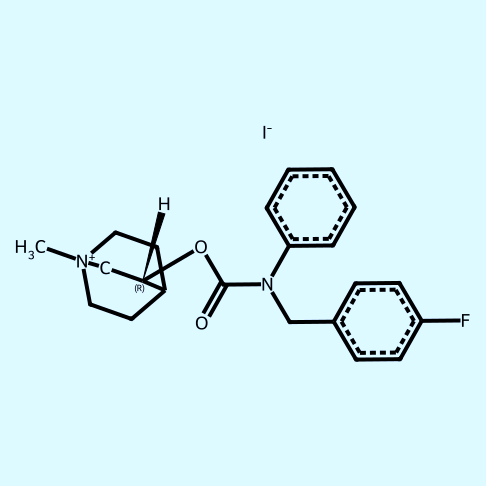 C[N+]12CCC(CC1)[C@@H](OC(=O)N(Cc1ccc(F)cc1)c1ccccc1)C2.[I-]